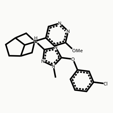 COc1cc(N2CC3CCC(C2)C3Nc2nc(Oc3cccc(Cl)c3)n(C)n2)cnn1